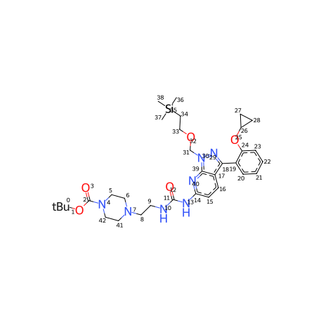 CC(C)(C)OC(=O)N1CCN(CCNC(=O)Nc2ccc3c(-c4ccccc4OC4CC4)nn(COCC[Si](C)(C)C)c3n2)CC1